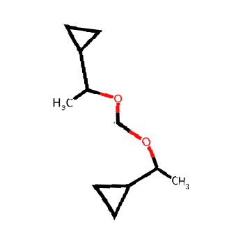 CC(O[CH]OC(C)C1CC1)C1CC1